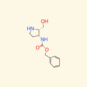 O=C(N[C@@H]1CCN[C@@H]1CO)OCc1ccccc1